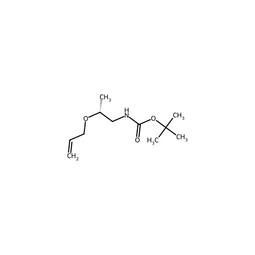 C=CCO[C@H](C)CNC(=O)OC(C)(C)C